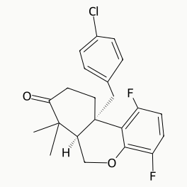 CC1(C)C(=O)CC[C@@]2(Cc3ccc(Cl)cc3)c3c(F)ccc(F)c3OC[C@@H]12